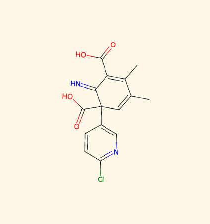 CC1=CC(C(=O)O)(c2ccc(Cl)nc2)C(=N)C(C(=O)O)=C1C